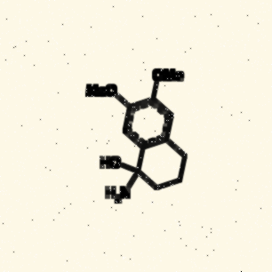 COc1cc2c(cc1OC)C(N)(O)CCC2